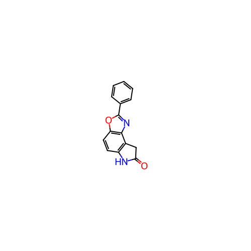 O=C1Cc2c(ccc3oc(-c4ccccc4)nc23)N1